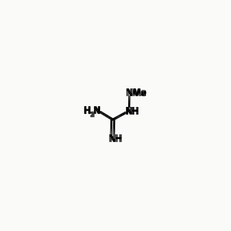 CNNC(=N)N